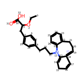 CCOC(Cc1ccc(CCCN2C3=CCC=C/C3=C/CCc3ccccc32)cc1)C(=O)O